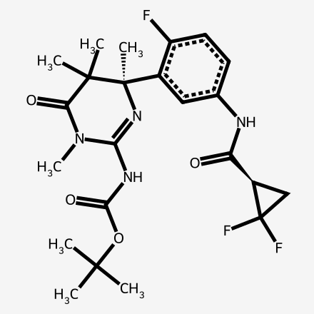 CN1C(=O)C(C)(C)[C@@](C)(c2cc(NC(=O)[C@H]3CC3(F)F)ccc2F)N=C1NC(=O)OC(C)(C)C